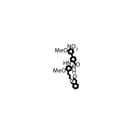 COc1cc2c(cc1CCCN1Cc3ccccc3CC1=O)NC(=O)c1ccc(-c3ccc([N+](=O)[O-])c(OC)c3)cc1N2